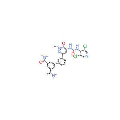 C=C(c1cc(C(=O)N(C)C)cc(-c2cccc(-c3cc(NC(=O)Nc4c(Cl)cncc4Cl)c(=O)n(CC)n3)c2)c1)N(C)C